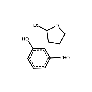 CCC1CCCO1.O=Cc1cccc(O)c1